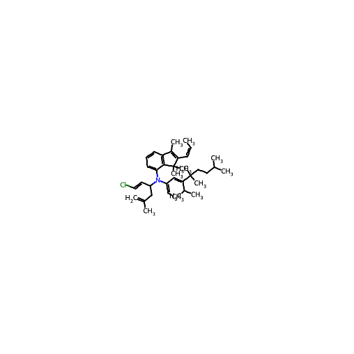 C=C(C)CC(/C=C/Cl)N(C(=C/C)/C=C(\C(C)C)C(C)(C)CCC(C)C)c1cccc2c1C(C)(C)C(/C=C\C)=C2C